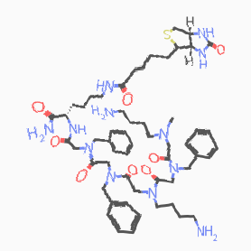 CN(CCCCN)CC(=O)N(CC(=O)N(CCCCN)CC(=O)N(CC(=O)N(CC(=O)N[C@@H](CCCCNC(=O)CCCCC1SC[C@@H]2NC(=O)N[C@H]12)C(N)=O)Cc1ccccc1)Cc1ccccc1)Cc1ccccc1